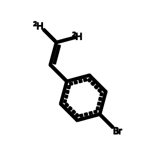 [2H]C([2H])=Cc1ccc(Br)cc1